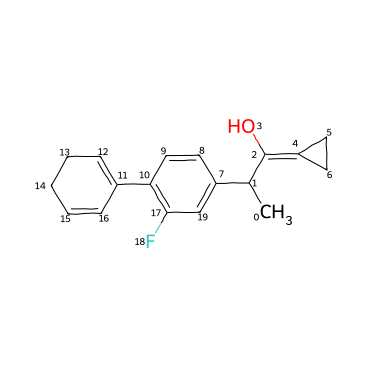 CC(C(O)=C1CC1)c1ccc(C2=CCCC=C2)c(F)c1